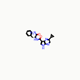 NC(=O)[C@@H](Cc1ccccc1)NC(=O)c1c[nH]c2ncc(C3CC3)nc12